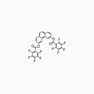 O=C(Oc1ccc2ccc3ccc(OC(=O)c4c(F)c(F)c(F)c(F)c4F)cc3c2c1)c1c(F)c(F)c(F)c(F)c1F